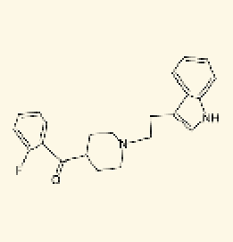 O=C(c1ccccc1F)C1CCN(CCc2c[nH]c3ccccc23)CC1